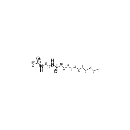 CCCCCCCCCCCC(=O)NCCNC(=O)CI